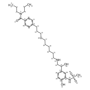 CCCN(CCC)C(=O)c1ccc(CCCOCCCCCCNCC(O)c2ccc(O)c(NS(C)(=O)=O)c2)cc1